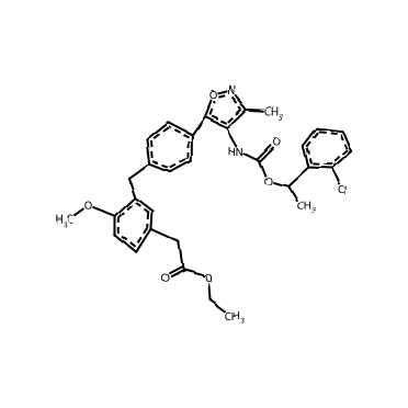 CCOC(=O)Cc1ccc(OC)c(Cc2ccc(-c3onc(C)c3NC(=O)OC(C)c3ccccc3Cl)cc2)c1